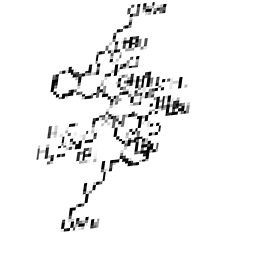 COCCOCOc1ccccc1CN(CP(=O)(OC(C)(C)C)OC(C)(C)C)[C@@H](CO[Si](C)(C)C(C)(C)C)[C@H](CO[Si](C)(C)C(C)(C)C)N(Cc1ccccc1OCOCCOC)CP(=O)(OC(C)(C)C)OC(C)(C)C